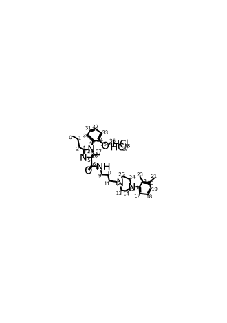 CCCc1nc(C(=O)NCCCN2CCN(c3cccc(C)c3C)CC2)c(C)n1-c1ccccc1OC.Cl.Cl